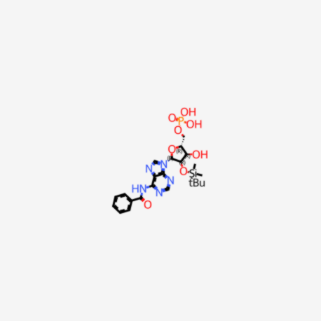 CC(C)(C)[Si](C)(C)O[C@@H]1[C@H](O)[C@@H](COP(=O)(O)O)O[C@H]1n1cnc2c(NC(=O)c3ccccc3)ncnc21